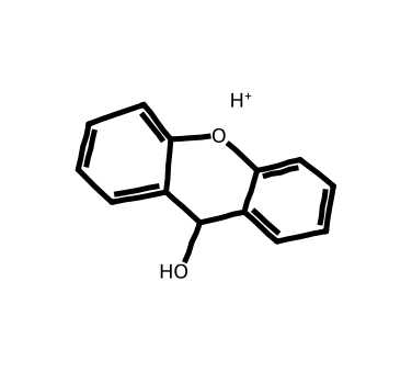 OC1c2ccccc2Oc2ccccc21.[H+]